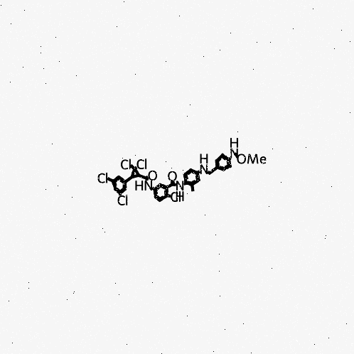 CONc1ccc(CNc2ccc(NC(=O)c3cc(NC(=O)C4C(c5cc(Cl)cc(Cl)c5)C4(Cl)Cl)ccc3Cl)c(C)c2)cc1